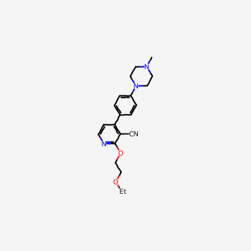 CCOCCOc1nccc(-c2ccc(N3CCN(C)CC3)cc2)c1C#N